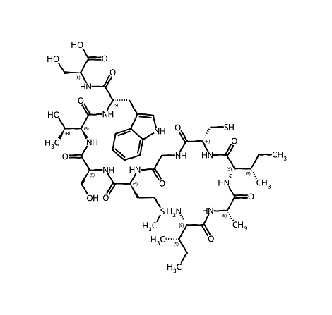 CC[C@H](C)[C@H](N)C(=O)N[C@@H](C)C(=O)N[C@H](C(=O)N[C@@H](CS)C(=O)NCC(=O)N[C@@H](CCSC)C(=O)N[C@@H](CO)C(=O)N[C@H](C(=O)N[C@@H](Cc1c[nH]c2ccccc12)C(=O)N[C@@H](CO)C(=O)O)[C@@H](C)O)[C@@H](C)CC